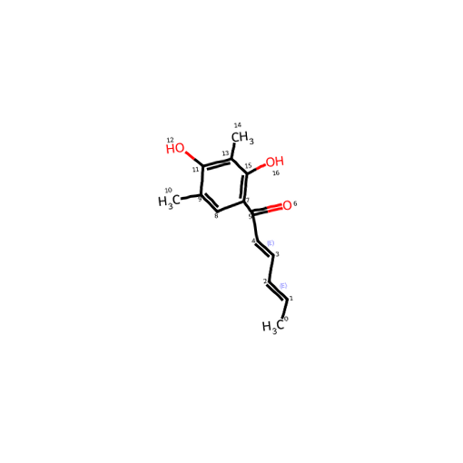 C/C=C/C=C/C(=O)c1cc(C)c(O)c(C)c1O